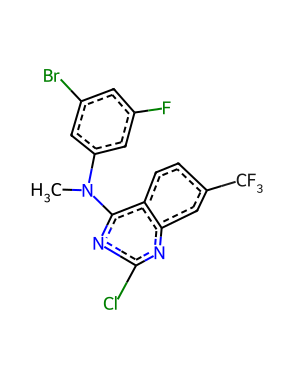 CN(c1cc(F)cc(Br)c1)c1nc(Cl)nc2cc(C(F)(F)F)ccc12